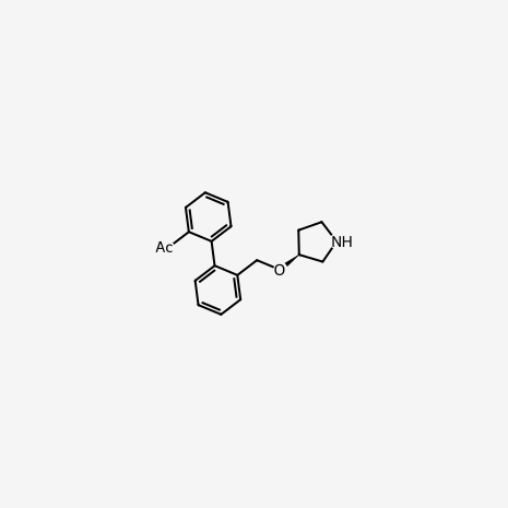 CC(=O)c1ccccc1-c1ccccc1CO[C@H]1CCNC1